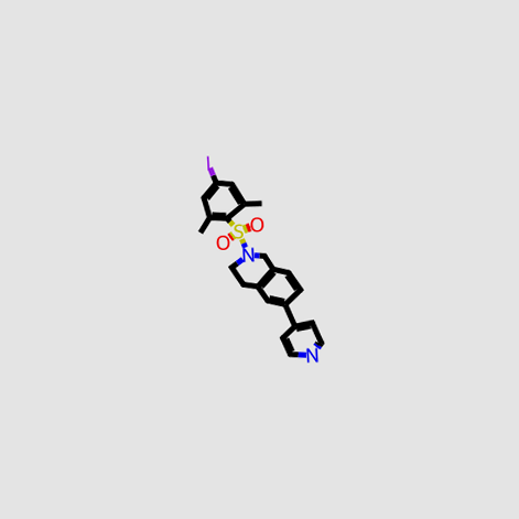 Cc1cc(I)cc(C)c1S(=O)(=O)N1CCc2cc(-c3ccncc3)ccc2C1